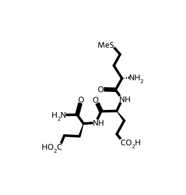 CSCC[C@H](N)C(=O)N[C@@H](CCC(=O)O)C(=O)N[C@@H](CCC(=O)O)C(N)=O